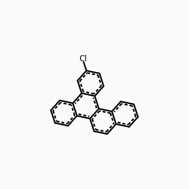 Clc1ccc2c(c1)c1ccccc1c1ccc3ccccc3c12